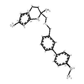 CC1(COCc2cccc(-c3ccc(OC(F)(F)F)cc3)c2)CCn2cc([N+](=O)[O-])nc2O1